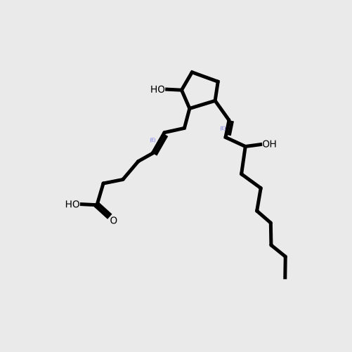 CCCCCCCC(O)/C=C/C1CCC(O)C1C/C=C/CCCC(=O)O